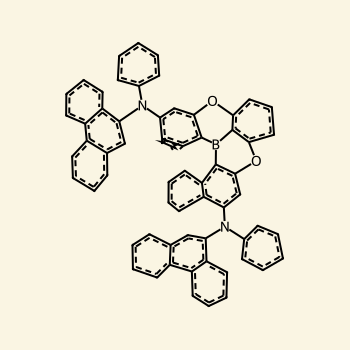 c1ccc(N(c2cc3c(c4ccccc24)B2c4c(cccc4Oc4cc(N(c5ccccc5)c5cc6ccccc6c6ccccc56)c5ccccc5c42)O3)c2cc3ccccc3c3ccccc23)cc1